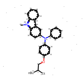 CCCCC(CC)COc1ccc(N(c2ccccc2)c2ccc3c(c2)c2ccccc2n3C)cc1